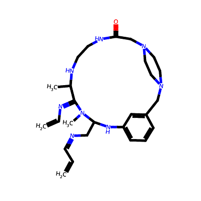 C=C/C=N\CC1Nc2cccc(c2)CN2CCN(CC2)CC(=O)NCCNC(C)/C(=N/C=C)N1C